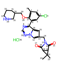 Cc1cc(Cl)cc(-c2ncnn3cc(CN4C(=O)C5C(C4=O)C5(C)C)cc23)c1OCC1CCCNC1.Cl